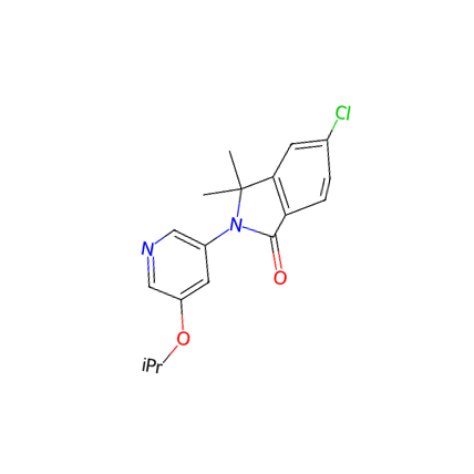 CC(C)Oc1cncc(N2C(=O)c3ccc(Cl)cc3C2(C)C)c1